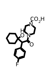 O=C(O)N1CCN(C(=O)C(c2ccc(F)cc2)C2(O)CCCCC2)CC1